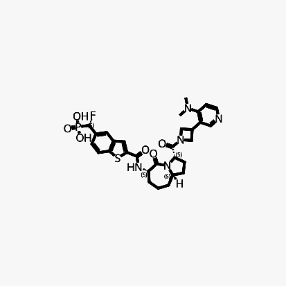 CN(C)c1ccncc1C1CN(C(=O)[C@@H]2CC[C@@H]3CCC[C@H](NC(=O)c4cc5cc([C@@H](F)P(=O)(O)O)ccc5s4)C(=O)N32)C1